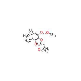 CC[SiH2]OC1=C(OCOC)C(C)C(C)(C)C=C1OCOC